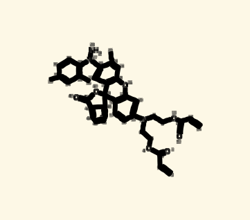 C=CC(=O)OCCN(CCOC(=O)C=C)c1ccc2c(c1)Oc1cc(C)c(N(N)c3ccc(C)cc3C)cc1C21OC(=O)c2ccccc21